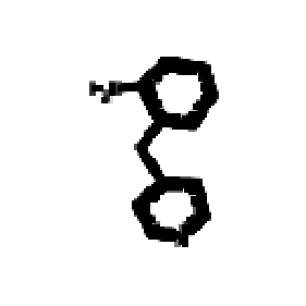 Nc1ccccc1Cc1ccncc1